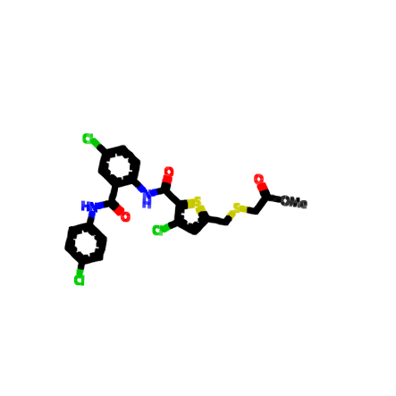 COC(=O)CSCc1cc(Cl)c(C(=O)Nc2ccc(Cl)cc2C(=O)Nc2ccc(Cl)cc2)s1